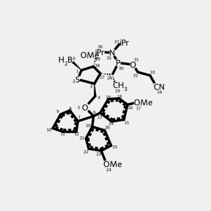 B[C@@H]1S[C@H](COC(c2ccccc2)(c2ccc(OC)cc2)c2ccc(OC)cc2)[C@@H]([C@@H](C)P(OCCC#N)N(C(C)C)C(C)C)[C@H]1OC